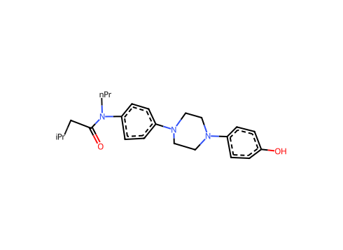 CCCN(C(=O)CC(C)C)c1ccc(N2CCN(c3ccc(O)cc3)CC2)cc1